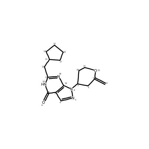 C=C1CC(n2ncc3c(=O)[nH]c(CC4CCCC4)nc32)CCO1